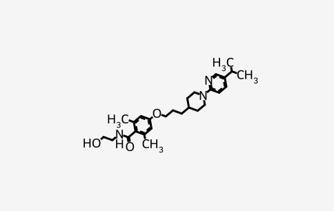 Cc1cc(OCCCC2CCN(c3ccc(C(C)C)cn3)CC2)cc(C)c1C(=O)NCCO